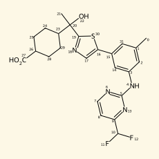 Cc1cc(Nc2nccc(C(F)F)n2)cc(-c2cnc(C(C)(O)C3CCC(C(=O)O)CC3)s2)c1